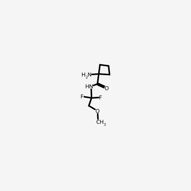 COCC(F)(F)NC(=O)C1(N)CCC1